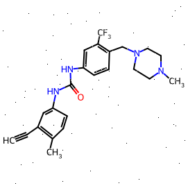 C#Cc1cc(NC(=O)Nc2ccc(CN3CCN(C)CC3)c(C(F)(F)F)c2)ccc1C